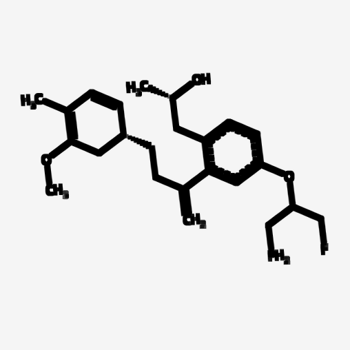 C=C(CC[C@H]1C=CC(C)=C(OC)C1)c1cc(OC(CF)CP)ccc1C[C@H](C)O